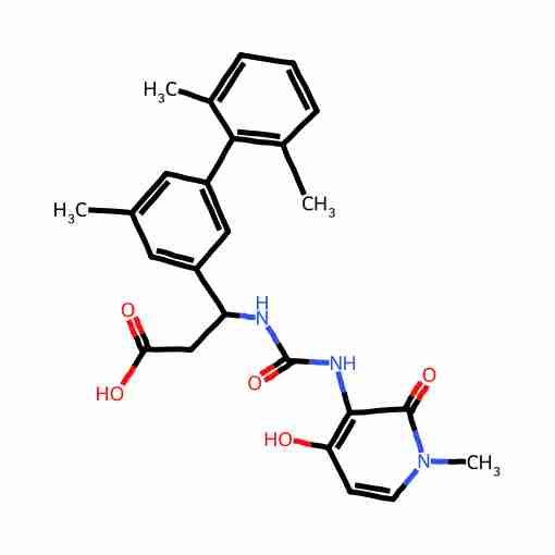 Cc1cc(-c2c(C)cccc2C)cc(C(CC(=O)O)NC(=O)Nc2c(O)ccn(C)c2=O)c1